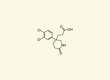 O=C(O)CCC1(c2ccc(Cl)c(Cl)c2)CCC(=O)NC1